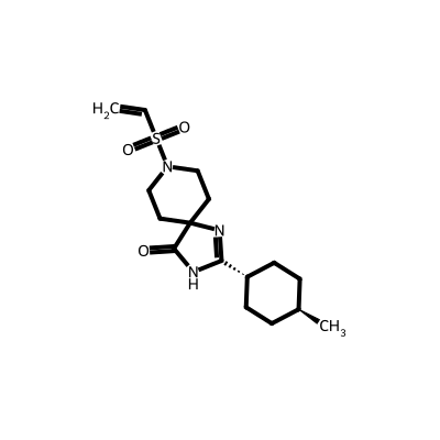 C=CS(=O)(=O)N1CCC2(CC1)N=C([C@H]1CC[C@H](C)CC1)NC2=O